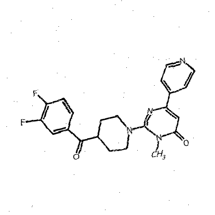 Cn1c(N2CCC(C(=O)c3ccc(F)c(F)c3)CC2)nc(-c2ccncc2)cc1=O